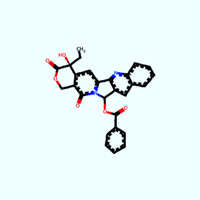 CC[C@@]1(O)C(=O)OCc2c1cc1n(c2=O)C(OC(=O)c2ccccc2)c2cc3ccccc3nc2-1